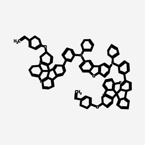 C=CC1=CC=C(OC2C=CC(C3(c4c(F)cccc4F)c4ccccc4C4C=CC(c5cccc(N(C6=CC=CCC6)c6ccc7oc8ccc(N(C9=CC=CCC9)c9cccc(-c%10ccc%11c(c%10)C(C%10=CCC(OC%12=CC=C(C=C)CC%12)C=C%10)(C%10C(F)=CCCC%10F)c%10ccccc%10-%11)c9)cc8c7c6)c5)=CC43)=CC2)CC1